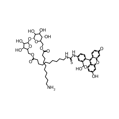 NCCCCCCCCCC(=O)OCC1O[C@H](O[C@H]2OC(COC(=O)CCCCCCCCCNC(=S)Nc3ccc(-c4c5ccc(=O)cc-5oc5cc(O)ccc45)c(C(=O)O)c3)[C@@H](O)C2O)C(O)C(O)[C@@H]1O